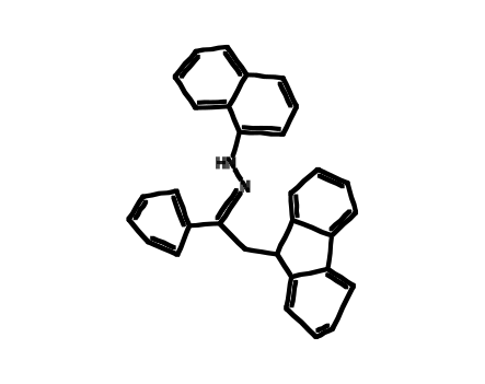 c1ccc(C(CC2c3ccccc3-c3ccccc32)=NNc2cccc3ccccc23)cc1